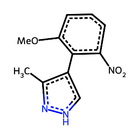 COc1cccc([N+](=O)[O-])c1-c1c[nH]nc1C